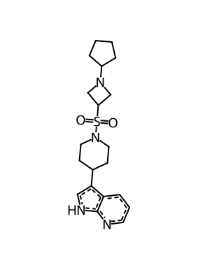 O=S(=O)(C1CN(C2CCCC2)C1)N1CCC(c2c[nH]c3ncccc23)CC1